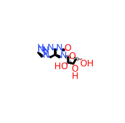 Nc1nc(=O)n([C@@H]2O[C@H](CO)C(O)[C@@H]2O)cc1Cn1ccnn1